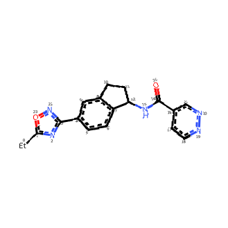 CCc1nc(-c2ccc3c(c2)CCC3NC(=O)c2ccnnc2)no1